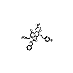 C#CCN1CC(=O)N2[C@@H](CC(=O)O)C(=O)N(CCc3ccc(F)cc3)C[C@@H]2N1C(=O)NCc1ccccc1